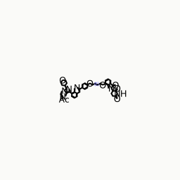 CC(=O)N1CCn2c(C3CCOCC3)nc(-c3cccc4cc(-c5ccc(OC/C=C/COc6cccc7c6CN(C6CCC(=O)NC6=O)C7=O)cc5)ncc34)c2C1